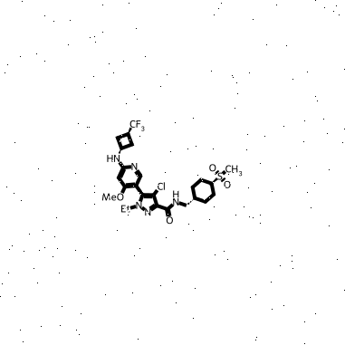 CCn1nc(C(=O)NC[C@H]2CC[C@H](S(C)(=O)=O)CC2)c(Cl)c1-c1cnc(N[C@H]2C[C@H](C(F)(F)F)C2)cc1OC